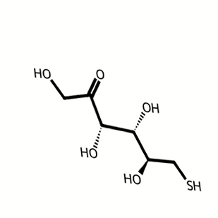 O=C(CO)[C@@H](O)[C@H](O)[C@H](O)CS